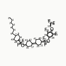 CCCCCCCC1CCC(C(F)(F)OC2CCC(C3CCC(C(F)(F)Oc4cc(F)c(OC=C(F)F)c(F)c4)CC3)CC2)CC1